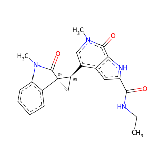 CCNC(=O)c1cc2c([C@H]3C[C@]34C(=O)N(C)c3ccccc34)cn(C)c(=O)c2[nH]1